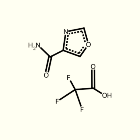 NC(=O)c1cocn1.O=C(O)C(F)(F)F